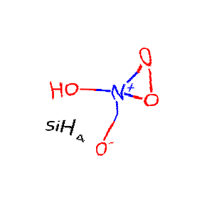 [O-][N+]1(O)OO1.[SiH4]